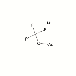 CC(=O)OC(F)(F)F.[Li]